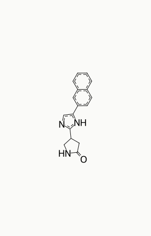 O=C1CC(c2ncc(-c3ccc4ccccc4c3)[nH]2)CN1